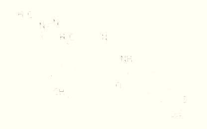 C=c1cnc(NC(=O)c2ccc3sccc3c2)c/c1=C/C(=C\C)c1cnn(C)c1